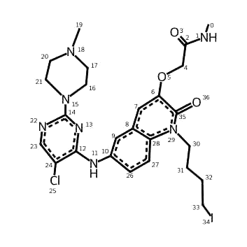 CNC(=O)COc1cc2cc(Nc3nc(N4CCN(C)CC4)ncc3Cl)ccc2n(CCCCI)c1=O